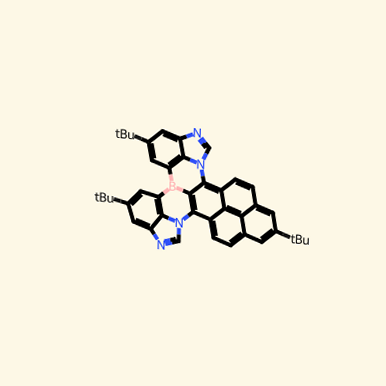 CC(C)(C)c1cc2ccc3c4c5c(c6ccc(c1)c2c36)-n1cnc2cc(C(C)(C)C)cc(c21)B5c1cc(C(C)(C)C)cc2ncn-4c12